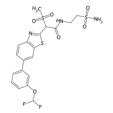 CS(=O)(=O)C(C(=O)NCCS(N)(=O)=O)c1nc2ccc(-c3cccc(OC(F)F)c3)cc2s1